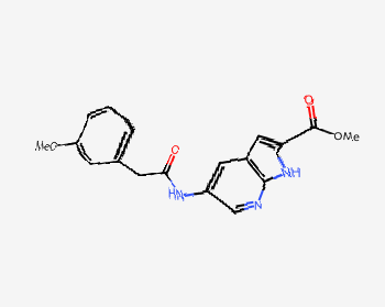 COC(=O)c1cc2cc(NC(=O)Cc3cccc(OC)c3)cnc2[nH]1